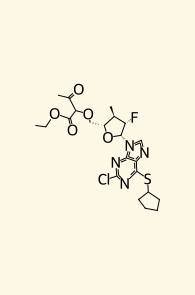 CCOC(=O)C(OC[C@H]1O[C@@H](n2cnc3c(SC4CCCC4)nc(Cl)nc32)[C@@H](F)[C@@H]1C)C(C)=O